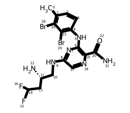 Cc1ccc(Nc2nc(NC[C@@H](N)CC(F)F)cnc2C(N)=O)c(Br)c1Br